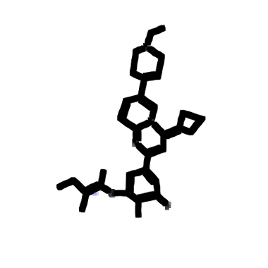 CC/C(C)=C(\C)Oc1cc(C2=CC(=C3CCC3)N3C=C(C4=CCN(CC)CC4)C=CC3=N2)cc(F)c1C